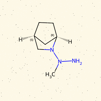 CN(N)N1C[C@H]2CC[C@@H]1C2